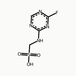 O=S(=O)(O)CNc1n[c]nc(F)n1